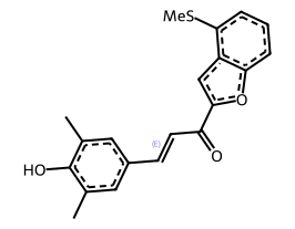 CSc1cccc2oc(C(=O)/C=C/c3cc(C)c(O)c(C)c3)cc12